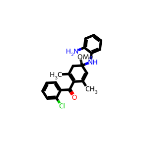 COC1(Nc2ccccc2N)C=C(C)C(C(=O)c2ccccc2Cl)=C(C)C1